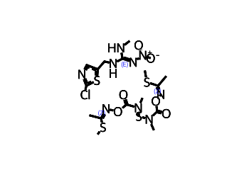 CN/C(=N\[N+](=O)[O-])NCc1cnc(Cl)s1.CS/C(C)=N\OC(=O)N(C)SN(C)C(=O)O/N=C(/C)SC